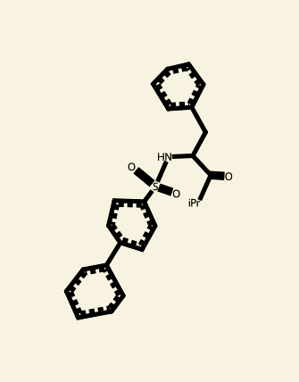 CC(C)C(=O)C(Cc1ccccc1)NS(=O)(=O)c1ccc(-c2ccccc2)cc1